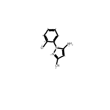 N#Cc1cc(N)n(-c2ccccc2Cl)n1